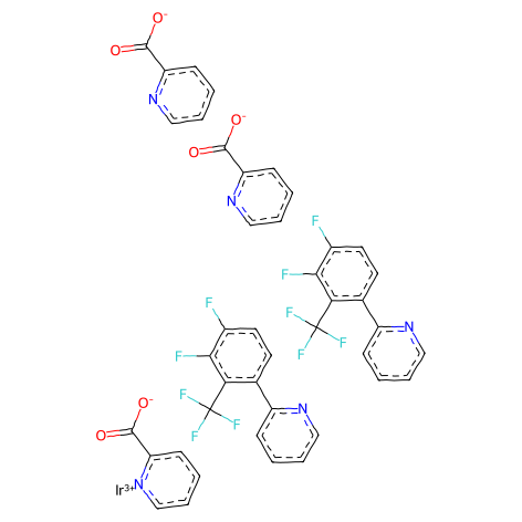 Fc1ccc(-c2ccccn2)c(C(F)(F)F)c1F.Fc1ccc(-c2ccccn2)c(C(F)(F)F)c1F.O=C([O-])c1ccccn1.O=C([O-])c1ccccn1.O=C([O-])c1ccccn1.[Ir+3]